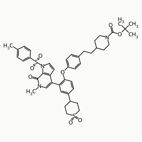 Cc1ccc(S(=O)(=O)n2ccc3c(-c4cc(C5CCS(=O)(=O)CC5)ccc4Oc4ccc(CCC5CCN(C(=O)OC(C)(C)C)CC5)cc4)cn(C)c(=O)c32)cc1